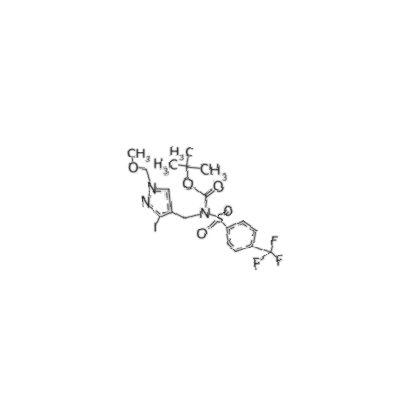 COCn1cc(CN(C(=O)OC(C)(C)C)S(=O)(=O)c2ccc(C(F)(F)F)cc2)c(I)n1